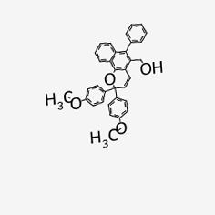 COc1ccc(C2(c3ccc(OC)cc3)C=Cc3c(CO)c(-c4ccccc4)c4ccccc4c3O2)cc1